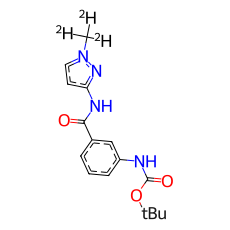 [2H]C([2H])([2H])n1ccc(NC(=O)c2cccc(NC(=O)OC(C)(C)C)c2)n1